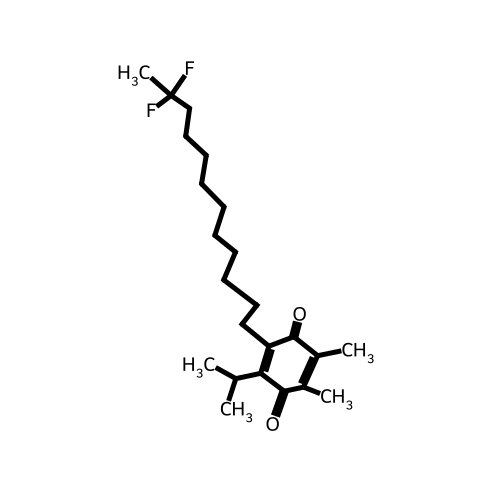 CC1=C(C)C(=O)C(C(C)C)=C(CCCCCCCCCCC(C)(F)F)C1=O